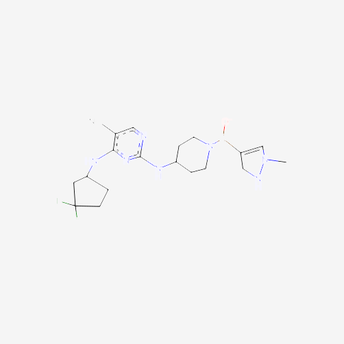 CN1C=C([S+]([O-])N2CCC(Nc3ncc(C#N)c(NC4CCC(F)(F)C4)n3)CC2)CN1